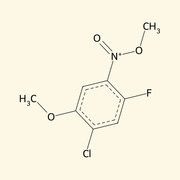 COc1cc([N+](=O)OC)c(F)cc1Cl